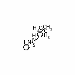 CC(C)(C)c1ccc(CNC(=S)NC2=CC[CH]C=C2)cc1